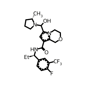 CC[C@@H](NC(=O)c1cc(C(O)N2CCC[C@@H]2C)n2c1COCC2)c1ccc(F)c(C(F)(F)F)c1